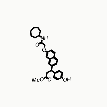 COC(=O)CC(c1ccc(O)cc1)c1ccc2ccc(OCC(=O)NC3CCCCCC3)cc2c1